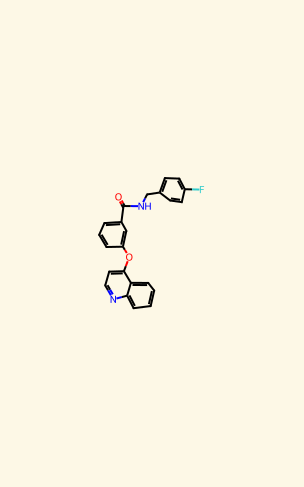 O=C(NCc1ccc(F)cc1)c1cccc(Oc2ccnc3ccccc23)c1